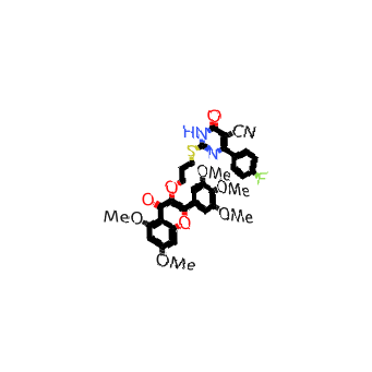 COc1cc(OC)c2c(=O)c(OCCCSc3nc(-c4ccc(F)cc4)c(C#N)c(=O)[nH]3)c(-c3cc(OC)c(OC)c(OC)c3)oc2c1